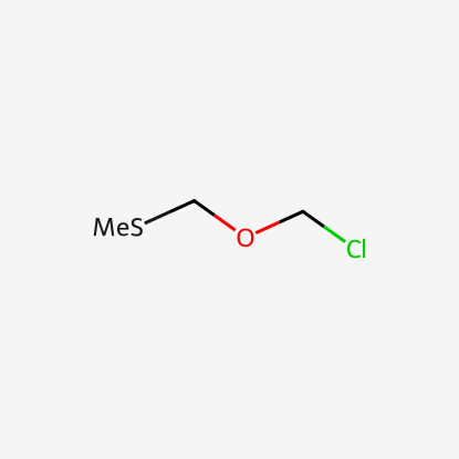 CSCOCCl